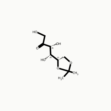 CC1(C)OC[C@@H]([C@H](O)[C@@H](O)C(=O)CO)O1